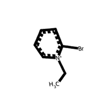 CC[n+]1ccccc1Br